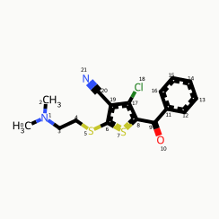 CN(C)CCSc1sc(C(=O)c2ccccc2)c(Cl)c1C#N